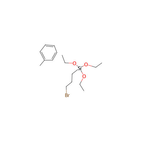 CCO[Si](CCCBr)(OCC)OCC.Cc1ccccc1